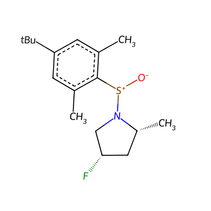 Cc1cc(C(C)(C)C)cc(C)c1[S+]([O-])N1C[C@@H](F)C[C@H]1C